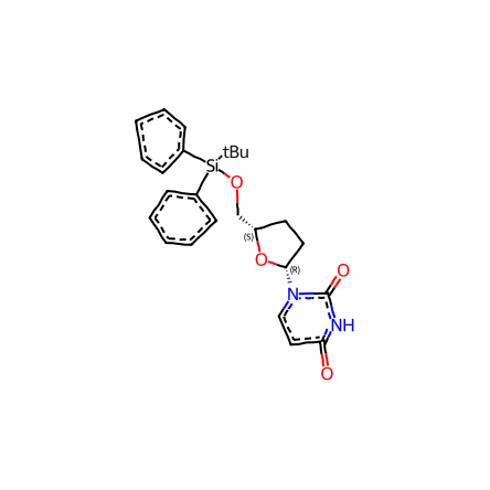 CC(C)(C)[Si](OC[C@@H]1CC[C@H](n2ccc(=O)[nH]c2=O)O1)(c1ccccc1)c1ccccc1